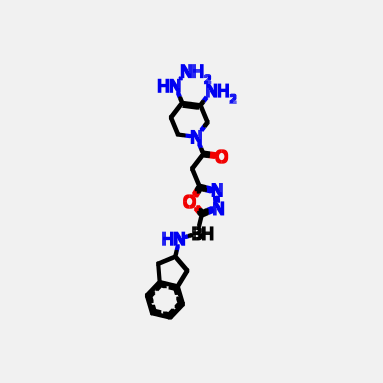 NNC1=C(N)CN(C(=O)Cc2nnc(BNC3Cc4ccccc4C3)o2)CC1